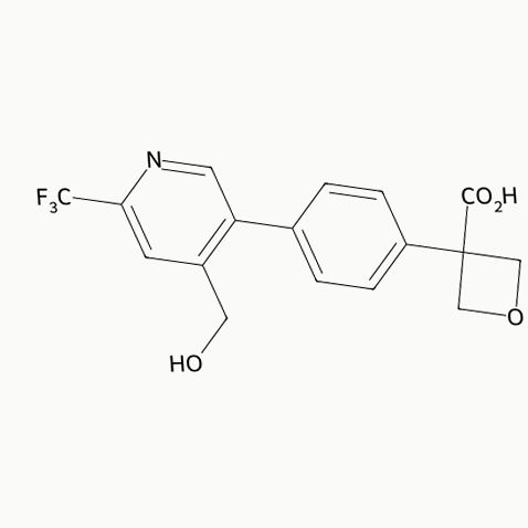 O=C(O)C1(c2ccc(-c3cnc(C(F)(F)F)cc3CO)cc2)COC1